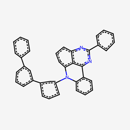 c1ccc(-c2cccc(-c3cccc(N4c5ccccc5-c5nc(-c6ccccc6)nc6cccc4c56)c3)c2)cc1